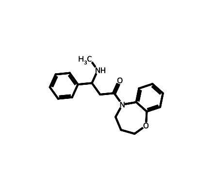 CNC(CC(=O)N1CCCOc2ccccc21)c1ccccc1